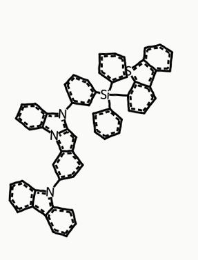 c1ccc([Si](c2ccccc2)(c2cccc(-n3c4ccccc4n4c5cc(-n6c7ccccc7c7ccccc76)ccc5cc34)c2)c2cccc3c2sc2ccccc23)cc1